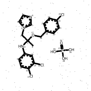 CC(Cn1ccnc1)(Nc1ccc(Cl)c(Cl)c1)OCc1ccc(Cl)cc1.O=P(O)(O)O